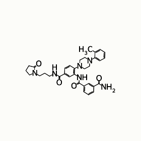 Cc1ccccc1N1CCN(c2ccc(C(=O)NCCCN3CCCC3=O)cc2NC(=O)c2cccc(C(N)=O)c2)CC1